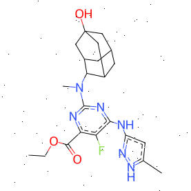 CCOC(=O)c1nc(N(C)C2C3CC4CC2CC(O)(C4)C3)nc(Nc2cc(C)[nH]n2)c1F